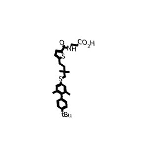 Cc1cc(SCC(C)(C)CCc2ccc(C(=O)NCCC(=O)O)s2)cc(C)c1-c1ccc(C(C)(C)C)cc1